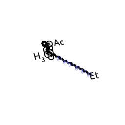 CC/C=C/C/C=C/C/C=C/C/C=C/C/C=C/C/C=C/CCC(=O)OC(C)OC(=O)c1ccccc1OC(C)=O